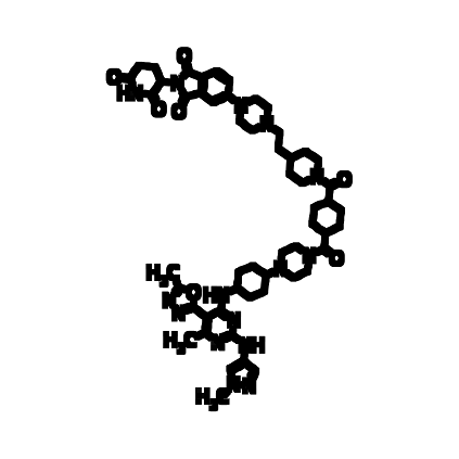 Cc1nnc(-c2c(C)nc(Nc3cnn(C)c3)nc2NC2CCC(N3CCN(C(=O)C4CCC(C(=O)N5CCC(CCN6CCN(c7ccc8c(c7)C(=O)N(C7CCC(=O)NC7=O)C8=O)CC6)CC5)CC4)CC3)CC2)o1